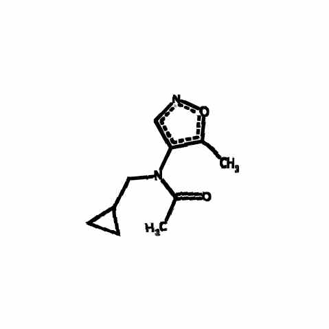 CC(=O)N(CC1CC1)c1cnoc1C